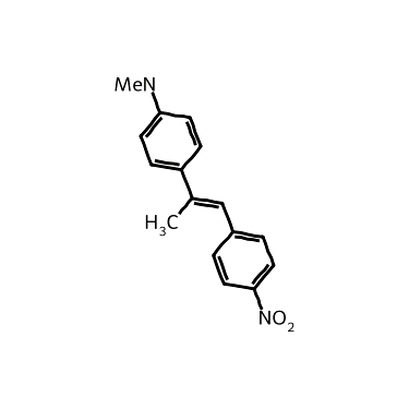 CNc1ccc(C(C)=Cc2ccc([N+](=O)[O-])cc2)cc1